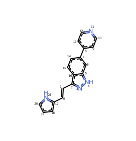 C(=C\c1n[nH]c2cc(-c3ccncc3)ccc12)/c1ccc[nH]1